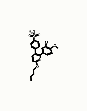 CCCCOc1ccc(-c2ccc(S(N)(=O)=O)cc2)c(-c2ccc(OC)c(Cl)c2)n1